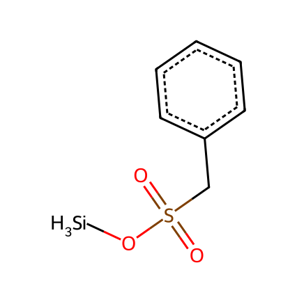 O=S(=O)(Cc1ccccc1)O[SiH3]